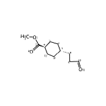 COC(=O)[C@H]1CC[C@H](CCC=O)CC1